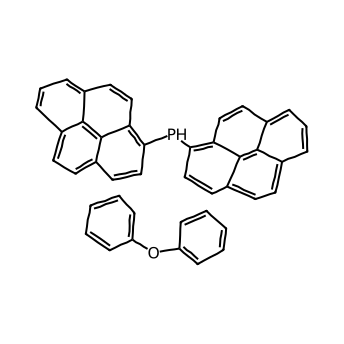 c1cc2ccc3ccc(Pc4ccc5ccc6cccc7ccc4c5c67)c4ccc(c1)c2c34.c1ccc(Oc2ccccc2)cc1